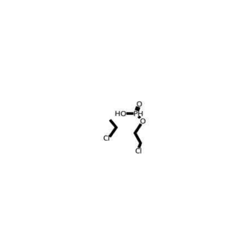 CCCl.O=[PH](O)OCCCl